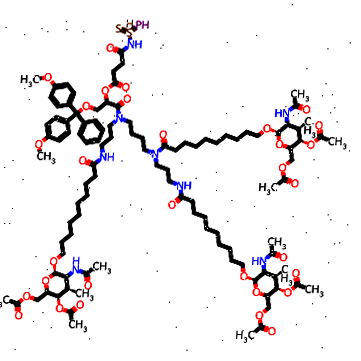 COc1ccc(C(OCC(OC(=O)CCC(=O)N[SH](=P)=S)C(=O)N(CCCCN(CCCNC(=O)CCCCCCCCCO[C@@H]2OC(COC(C)=O)[C@H](OC(C)=O)[C@H](C)C2NC(C)=O)C(=O)CCCCCCCCCO[C@@H]2OC(COC(C)=O)[C@H](OC(C)=O)[C@H](C)C2NC(C)=O)CCCNC(=O)CCCCCCCCCO[C@@H]2OC(COC(C)=O)[C@H](OC(C)=O)[C@H](C)C2NC(C)=O)(c2ccccc2)c2ccc(OC)cc2)cc1